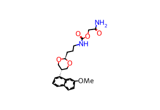 COc1ccc2cccc([C@H]3CO[C@H](CCCNC(=O)OCC(N)=O)OC3)c2c1